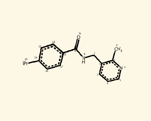 Cc1ncccc1CNC(=O)c1ccc(C(C)C)cc1